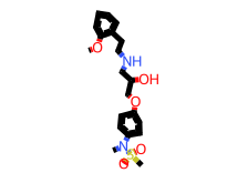 COc1ccccc1CCNCC(O)COc1ccc(N(C)S(C)(=O)=O)cc1